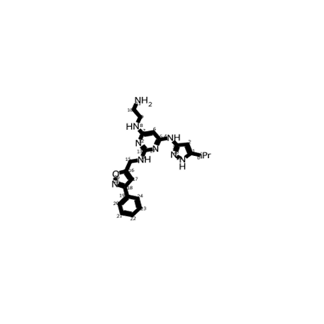 CC(C)c1cc(Nc2cc(NCCN)nc(NCc3cc(-c4ccccc4)no3)n2)n[nH]1